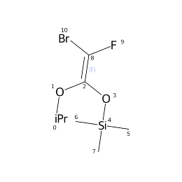 CC(C)O/C(O[Si](C)(C)C)=C(/F)Br